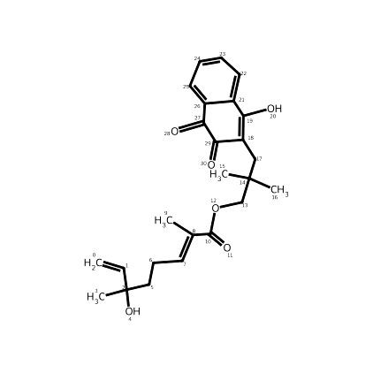 C=CC(C)(O)CC/C=C(\C)C(=O)OCC(C)(C)CC1=C(O)c2ccccc2C(=O)C1=O